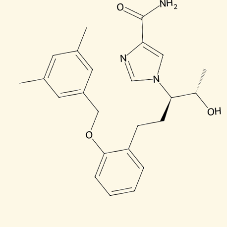 Cc1cc(C)cc(COc2ccccc2CC[C@H]([C@H](C)O)n2cnc(C(N)=O)c2)c1